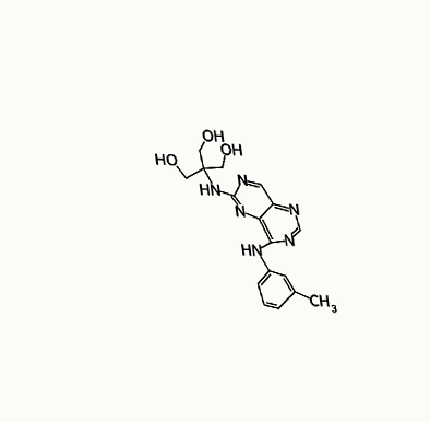 Cc1cccc(Nc2ncnc3cnc(NC(CO)(CO)CO)nc23)c1